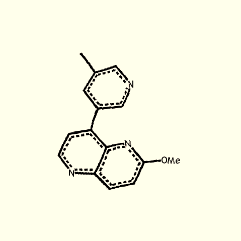 COc1ccc2nccc(-c3cncc(C)c3)c2n1